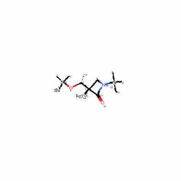 CC(=O)OC1([C@@H](C)O[Si](C)(C)C(C)(C)C)CN([Si](C)(C)C)C1=O